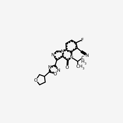 CC(C)n1c(=O)c2c(-c3noc(C4CCOC4)n3)ncn2c2ccc(F)c(C#N)c21